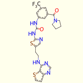 O=C(Nc1cc(C(=O)N2CCCC2)cc(C(F)(F)F)c1)Nc1ncc(CCNc2ncnc3ccsc23)s1